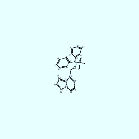 CC(C)(C)[Si](OCc1cccn2ncnc12)(c1ccccc1)c1ccccc1